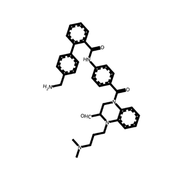 CN(C)CCCN1c2ccccc2N(C(=O)c2ccc(NC(=O)c3ccccc3-c3ccc(CN)cc3)cc2)CC1C=O